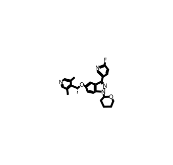 Cc1cncc(C)c1[C@@H](C)Oc1ccc2c(c1)c(-c1ccc(F)nc1)nn2C1CCCCO1